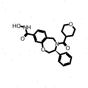 O=C(NO)c1ccc2c(c1)OC[C@H](c1ccccc1)N(C(=O)C1CCOCC1)C2